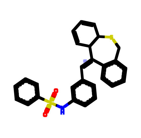 O=S(=O)(Nc1cccc(/C=C2\c3ccccc3CSC3C=CC=CC23)c1)c1ccccc1